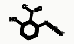 [N-]=[N+]=Nc1cccc(O)c1[N+](=O)[O-]